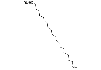 [2H]CCCCCCCCCCCCCCCCCCCCCCCCCCCCCC